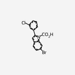 O=C(O)n1c(-c2cccc(Cl)c2)cc2ccc(Br)cc21